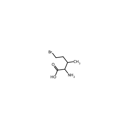 CC(CCBr)C(N)C(=O)O